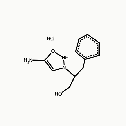 Cl.NC1=CN(C(CO)Cc2ccccc2)NO1